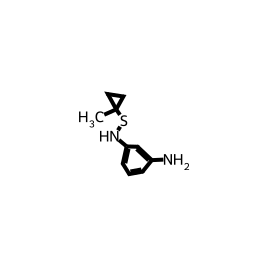 CC1(SNc2cccc(N)c2)CC1